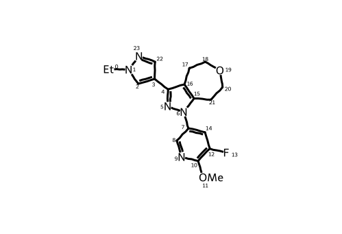 CCn1cc(-c2nn(-c3cnc(OC)c(F)c3)c3c2CCOCC3)cn1